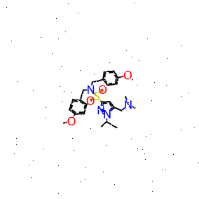 COc1ccc(CN(Cc2ccc(OC)cc2)S(=O)(=O)c2cc(CN(C)C)n(C(C)C)n2)cc1